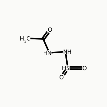 CC(=O)NN[SH](=O)=O